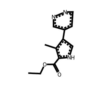 CCOC(=O)c1[nH]cc(-c2ccnnc2)c1C